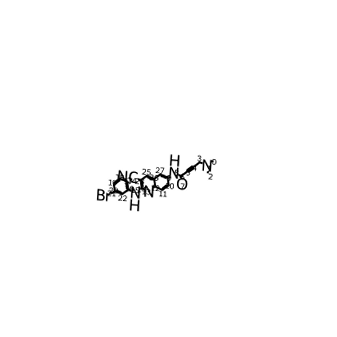 CN(C)CC#CC(=O)Nc1ccc2nc(Nc3cccc(Br)c3)c(C#N)cc2c1